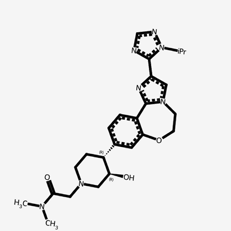 CC(C)n1ncnc1-c1cn2c(n1)-c1ccc([C@H]3CCN(CC(=O)N(C)C)C[C@@H]3O)cc1OCC2